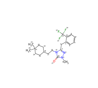 Cn1nc(Cc2ccccc2C(F)(F)F)n(CCC2CCC(C)(C)CC2)c1=O